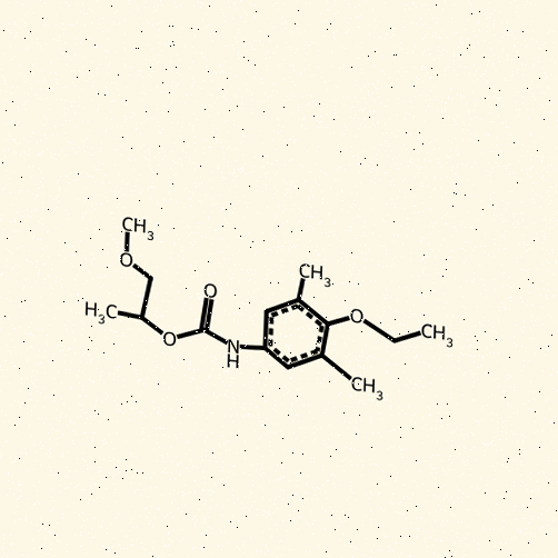 CCOc1c(C)cc(NC(=O)OC(C)COC)cc1C